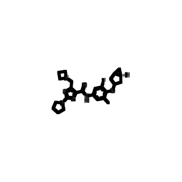 Cc1cc(NC(=O)c2nc(N3CCCC3)oc2CN2CCC2)cc(F)c1OC1CC2C[C@H]2C1